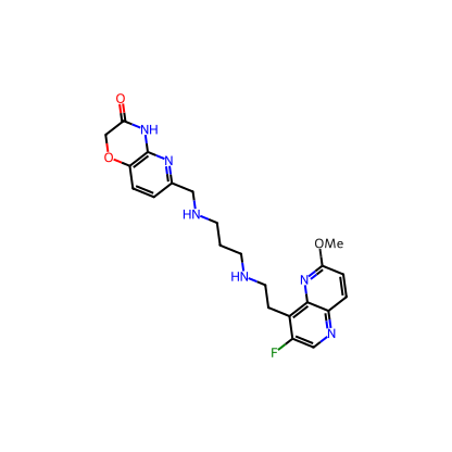 COc1ccc2ncc(F)c(CCNCCCNCc3ccc4c(n3)NC(=O)CO4)c2n1